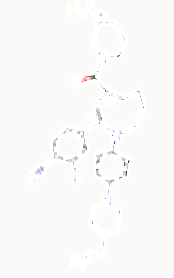 COC1CCN(c2ccc(N3CCC/C=C(C(=O)N4CCC[C@@H](N)C4)/C=C\3c3ccc(C#N)c(F)c3)cc2)CC1